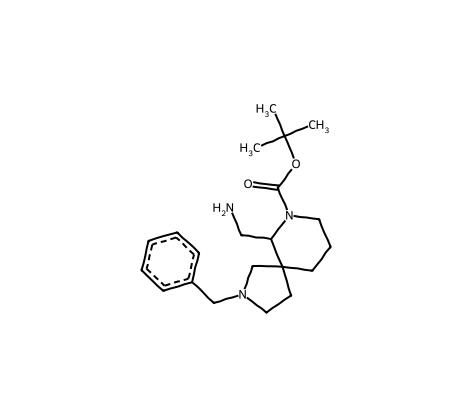 CC(C)(C)OC(=O)N1CCCC2(CCN(Cc3ccccc3)C2)C1CN